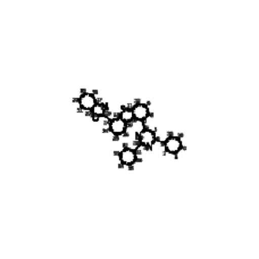 c1ccc(-c2cc(-c3cccc4sc5c(-c6nc7ccccc7o6)cccc5c34)nc(-c3ccccc3)n2)cc1